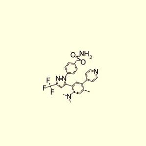 Cc1cc(N(C)C)c(-c2cc(C(F)(F)F)nn2-c2ccc(S(N)(=O)=O)cc2)cc1-c1ccncc1